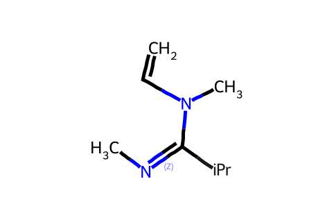 C=CN(C)/C(=N\C)C(C)C